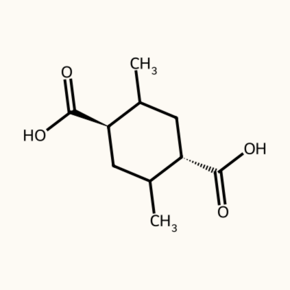 CC1C[C@@H](C(=O)O)C(C)C[C@@H]1C(=O)O